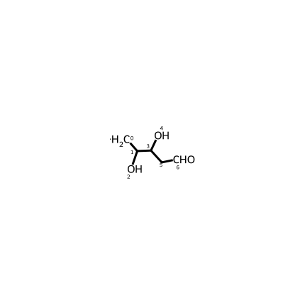 [CH2]C(O)C(O)CC=O